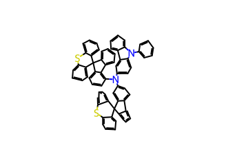 c1ccc(-n2c3ccccc3c3cc(N(c4ccc5c(c4)C4(c6ccccc6Sc6ccccc64)c4ccccc4-5)c4cccc5c4-c4ccccc4C54c5ccccc5Sc5ccccc54)ccc32)cc1